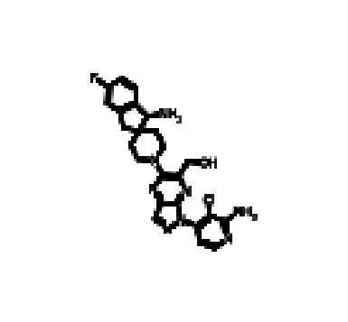 Nc1nccc(-n2ncc3nc(N4CCC5(CC4)Cc4cc(F)ccc4C5N)c(CO)nc32)c1Cl